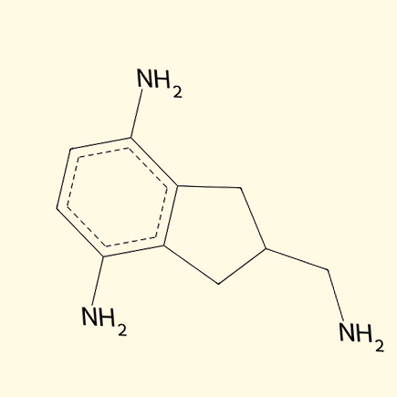 NCC1Cc2c(N)ccc(N)c2C1